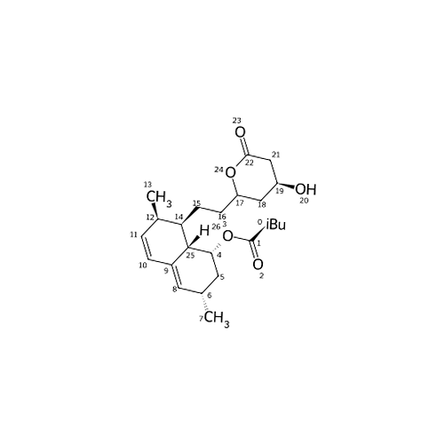 CC[C@H](C)C(=O)O[C@@H]1C[C@H](C)C=C2C=C[C@@H](C)[C@@H](CCC3C[C@H](O)CC(=O)O3)[C@@H]21